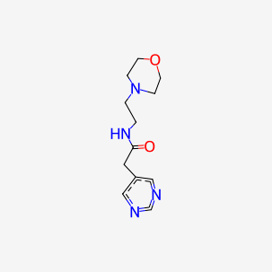 O=C(Cc1cncnc1)NCCN1CCOCC1